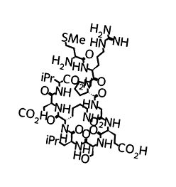 CSCC[C@H](N)C(=O)N[C@@H](CCCNC(=N)N)C(=O)N1CCC[C@H]1C(=O)NCC(=O)N[C@@H](CCC(=O)O)C(=O)N[C@@H](CO)C(=O)N[C@@H](CC(C)C)C(=O)N[C@@H](CCCCN)C(=O)N[C@@H](CC(=O)O)C(=O)N[C@H](C(=O)O)C(C)C